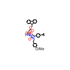 COc1ccc(CCN2C(=O)N(NS(=O)(=O)CC(=O)OCC3c4ccccc4-c4ccccc43)CC2c2ccc(C3CC3)cc2)cc1